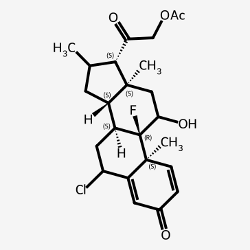 CC(=O)OCC(=O)[C@H]1C(C)C[C@H]2[C@@H]3CC(Cl)C4=CC(=O)C=C[C@]4(C)[C@@]3(F)C(O)C[C@]12C